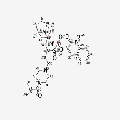 CC(C)n1c(=O)c(OC(=O)N[C@@H]2C[C@H]3CC[C@@H](C2)N3CCN(CCN2CCN(C(=O)N(C)C)CC2)S(C)(=O)=O)cc2ccccc21